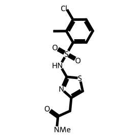 CNC(=O)Cc1csc(NS(=O)(=O)c2cccc(Cl)c2C)n1